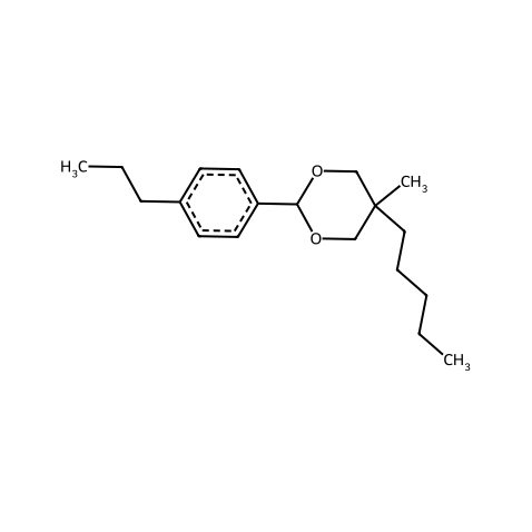 CCCCCC1(C)COC(c2ccc(CCC)cc2)OC1